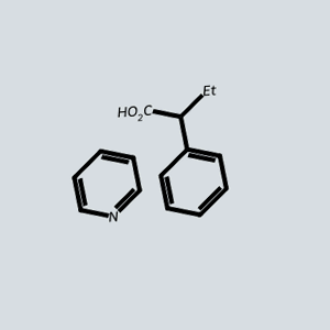 CCC(C(=O)O)c1ccccc1.c1ccncc1